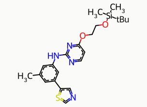 Cc1cc(Nc2nccc(OCCO[Si](C)(C)C(C)(C)C)n2)cc(-c2cncs2)c1